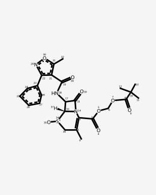 CC1=C(C(=O)OCOC(=O)C(C)(C)C)N2C(=O)C(NC(=O)c3c(-c4ccccc4)noc3C)[C@H]2[S+]([O-])C1